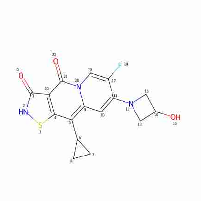 O=c1[nH]sc2c(C3CC3)c3cc(N4CC(O)C4)c(F)cn3c(=O)c12